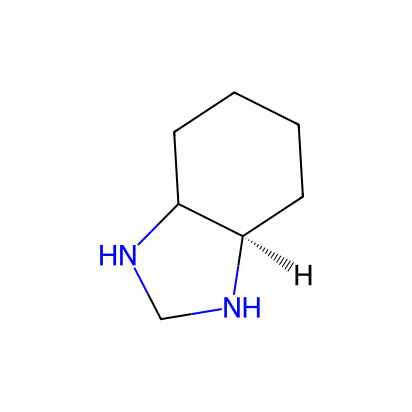 C1CC[C@H]2NCNC2C1